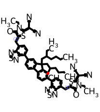 CCCCC(CC)CC1(CC(CC)CCCC)c2cc(-c3ccc(/C=c4\sc(=C(C#N)C#N)n(CC)c4=O)c4nsnc34)ccc2-c2ccc(-c3ccc(/C=c4\sc(=C(C#N)C#N)n(CC)c4=O)c4nsnc34)cc21